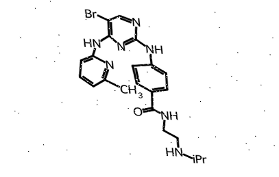 Cc1cccc(Nc2nc(Nc3ccc(C(=O)NCCNC(C)C)cc3)ncc2Br)n1